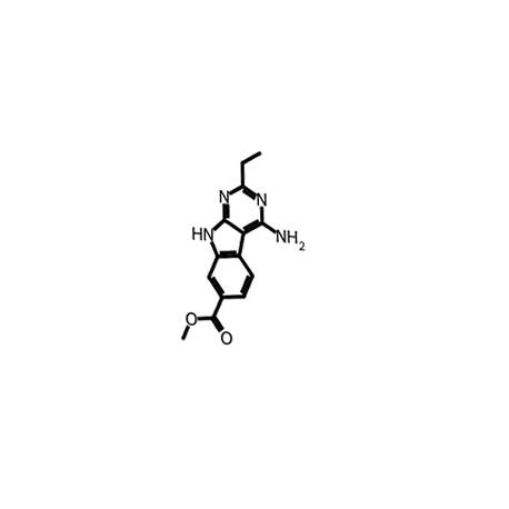 CCc1nc(N)c2c(n1)[nH]c1cc(C(=O)OC)ccc12